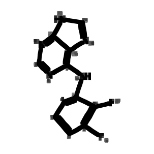 Fc1cccc(Nc2ncnc3[nH]cnc23)c1F